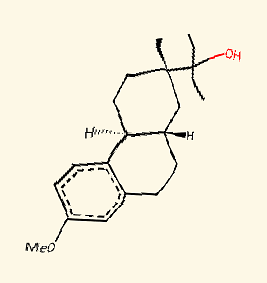 COc1ccc2c(c1)CC[C@H]1C[C@@](C)(C(C)(C)O)CC[C@H]21